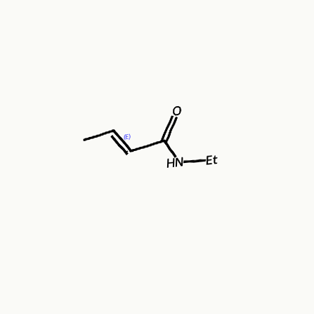 C/C=[C]/C(=O)NCC